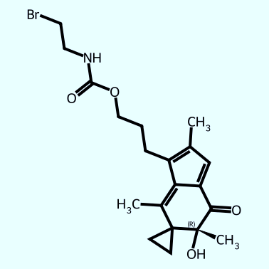 CC1=C(CCCOC(=O)NCCBr)C2=C(C)C3(CC3)[C@@](C)(O)C(=O)C2=C1